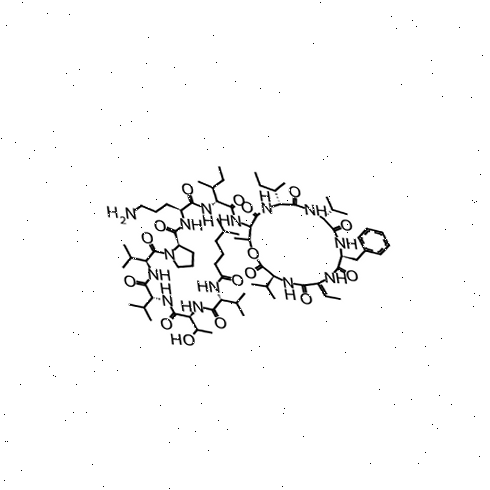 C/C=C1\NC(=O)[C@H](Cc2ccccc2)NC(=O)[C@@H](C(C)C)NC(=O)[C@@H](C(C)CC)NC(=O)C(NC(=O)[C@H](NC(=O)[C@H](CCCN)NC(=O)[C@H]2CCCN2C(=O)[C@@H](NC(=O)[C@H](NC(=O)[C@@H](NC(=O)[C@H](NC(=O)CCCC(C)C)C(C)C)C(C)O)C(C)C)C(C)C)C(C)CC)C(C)OC(=O)[C@H](C(C)C)NC1=O